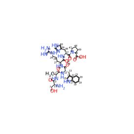 C[C@H](NC(=O)[C@@H](N)CO)C(=O)N[C@@H](Cc1c[nH]c2ccccc12)C(=O)N[C@@H](CCCNC(=N)N)C(=O)N[C@@H](Cc1c[nH]cn1)C(=O)N1CCC[C@H]1C(=O)O